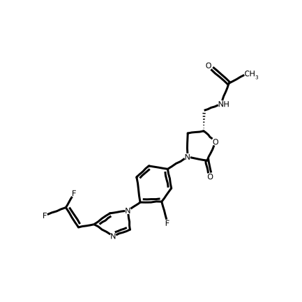 CC(=O)NC[C@H]1CN(c2ccc(-n3cnc(C=C(F)F)c3)c(F)c2)C(=O)O1